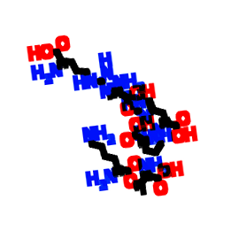 C[C@@H](OC(=O)[C@@H](N)CCCCN)[C@H](N)C(=O)O.C[C@H](N)C(=O)O.N=C(N)NCCC[C@H](N)C(=O)O.N[C@@H](Cc1c[nH]cn1)C(=O)O.O=C(O)[C@@H]1CCCN1